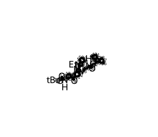 CCn1c(-c2nc3cc(C(=O)N4CCC[C@@H](NC(=O)OC(C)(C)C)C4)ccc3n2CCCNC(=O)OCC2c3ccccc3-c3ccccc32)cc2ccccc21